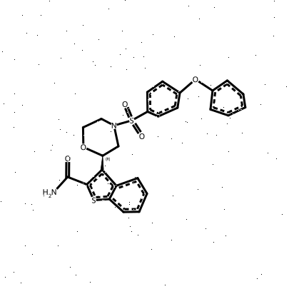 NC(=O)c1sc2ccccc2c1[C@@H]1CN(S(=O)(=O)c2ccc(Oc3ccccc3)cc2)CCO1